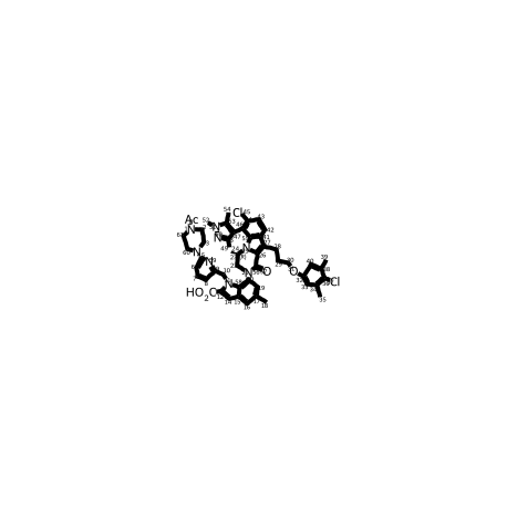 CC(=O)N1CCN(c2cccc(Cn3c(C(=O)O)cc4cc(C)cc(N5C[C@@H](C)n6c(c(CCCOc7cc(C)c(Cl)c(C)c7)c7ccc(Cl)c(-c8c(C)nn(C)c8C)c76)C5=O)c43)n2)CC1